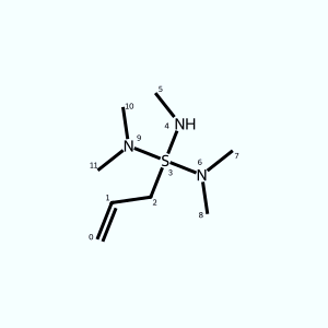 C=CCS(NC)(N(C)C)N(C)C